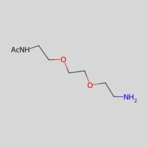 CC(=O)NCCOCCOCCN